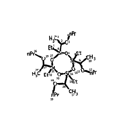 CCCOC(C)[Si]1(CC)O[Si](CC)(C(C)OCCC)O[Si](CC)(C(C)OCCC)O[Si](CC)(C(C)OCCC)O1